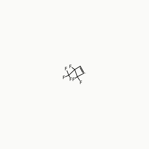 FC(F)(F)C1(F)C=[C]C1(F)F